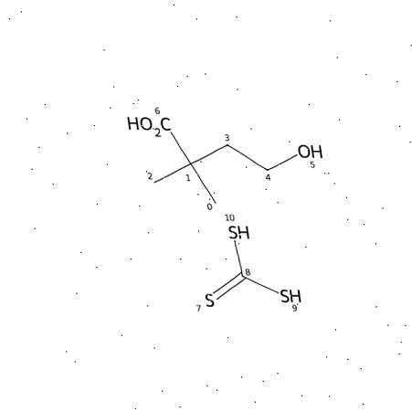 CC(C)(CCO)C(=O)O.S=C(S)S